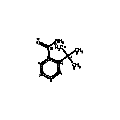 CC(C)(C)[n+]1ccccc1C(N)=O